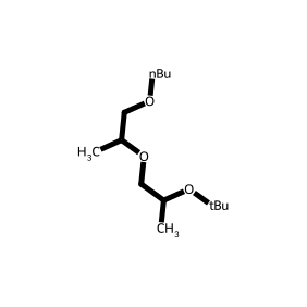 CCCCOCC(C)OCC(C)OC(C)(C)C